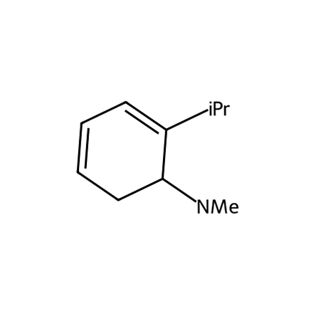 CNC1CC=CC=C1C(C)C